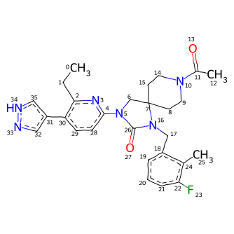 CCc1nc(N2CC3(CCN(C(C)=O)CC3)N(Cc3cccc(F)c3C)C2=O)ccc1-c1cn[nH]c1